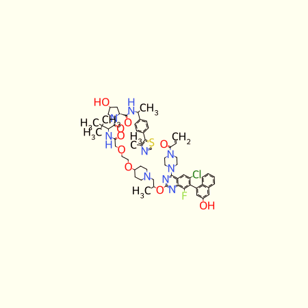 C=CC(=O)N1CCN(c2nc(OC(C)CN3CCC(OCCOCC(=O)NC(C(=O)N4C[C@H](O)C[C@H]4C(=O)NC(C)c4ccc(-c5scnc5C)cc4)C(C)(C)C)CC3)nc3c(F)c(-c4cc(O)cc5ccccc45)c(Cl)cc23)CC1